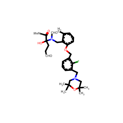 CNC(=O)C(O)(CCC=O)N(C=O)Cc1c(C)cccc1OCc1cccc(CN2CC(C)(C)OC(C)(C)C2)c1F